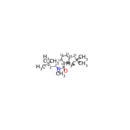 CN(CCC(C)(C)C)C(=O)c1cccc(CC(C)(C)C)c1